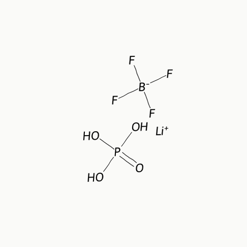 F[B-](F)(F)F.O=P(O)(O)O.[Li+]